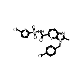 Cc1nc2ccc(C(=O)NS(=O)(=O)c3ccc(Cl)s3)nc2n1Cc1ccc(Cl)cc1